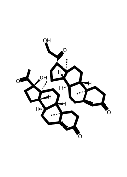 CC(=O)[C@@]1(O)CC[C@H]2[C@@H]3CCC4=CC(=O)CC[C@]4(C)[C@H]3CC[C@@]21C.C[C@]12CC[C@H]3[C@@H](CCC4=CC(=O)CC[C@@]43C)[C@@H]1CC[C@@H]2C(=O)CO